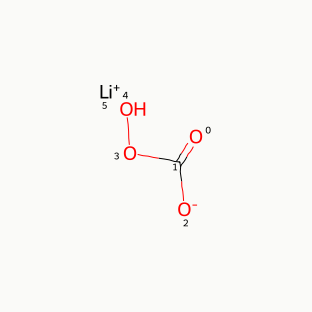 O=C([O-])OO.[Li+]